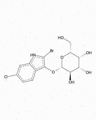 OC[C@H]1O[C@@H](Oc2c(Br)[nH]c3cc(Cl)ccc23)[C@H](O)[C@@H](O)[C@H]1O